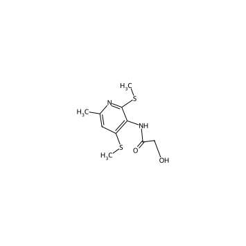 CSc1cc(C)nc(SC)c1NC(=O)CO